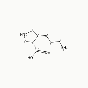 BCCC[C@@H]1CNC[C@H]1C(=O)O